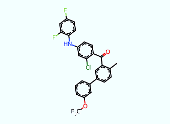 Cc1ccc(-c2cccc(OC(F)(F)F)c2)cc1C(=O)c1ccc(Nc2ccc(F)cc2F)cc1Cl